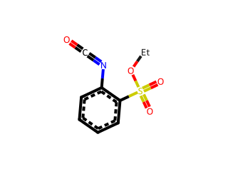 CCOS(=O)(=O)c1ccccc1N=C=O